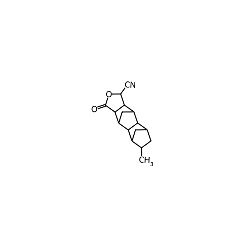 CC1CC2CC1C1C3CC(C4C(C#N)OC(=O)C34)C21